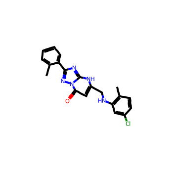 Cc1ccc(Cl)cc1NCc1cc(=O)n2nc(-c3ccccc3C)nc2[nH]1